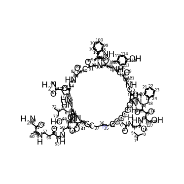 CC(=O)N[C@@H](CC(C)C)C(=O)N[C@H](C(=O)C(=O)[C@H](Cc1ccccc1)NN[C@]1(C)CCCCCC/C=C/CCC[C@@](C)(C(=O)N[C@@H](CO)C(=O)CN[C@@H](C)C(=O)CCN[C@@H](C)C(=O)CN)NC(=O)[C@H](CCC(C)C)NN[C@@H](CCC(N)=O)C(=O)CN[C@@H](C)C(=O)CC(=O)[C@H](Cc2c[nH]c3ccccc23)NC(=O)[C@H](Cc2ccc(O)cc2)NCC(=O)[C@H](C)NCC1=O)[C@@H](C)O